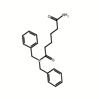 NC(=O)CCCCC(=O)N(Cc1ccccc1)Cc1ccccc1